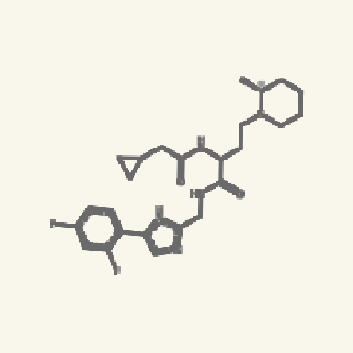 C[C@H]1CCCCN1CCC(NC(=O)CC1CC1)C(=O)NCc1ncc(-c2ccc(F)cc2F)[nH]1